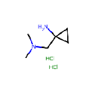 CN(C)CC1(N)CC1.Cl.Cl